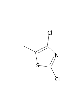 [CH2]c1sc(Cl)nc1Cl